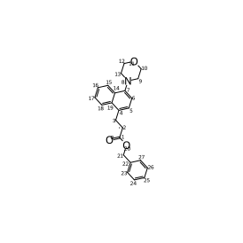 O=C([CH]Cc1ccc(N2CCOCC2)c2ccccc12)OCc1ccccc1